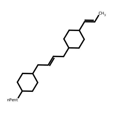 CC=CC1CCC(CC=CCC2CCC(CCCCC)CC2)CC1